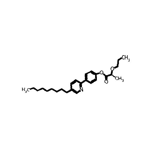 CCCCCCCCCc1ccc(-c2ccc(OC(=O)[C@H](C)OCCC)cc2)nc1